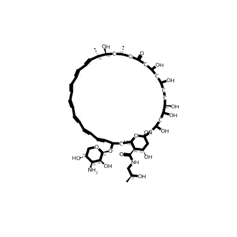 C[C@H](O)CNC(=O)[C@H]1[C@@H]2CC(O[C@@H]3OC[C@@H](O)[C@H](N)[C@@H]3O)/C=C/C=C/C=C/C=C/C=C/C=C/C=C/[C@H](C)[C@@H](O)C[C@H](C)OC(=O)CC(O)CC(O)CC[C@@H](O)C(O)CC(O)CC(O)(C[C@@H]1O)O2